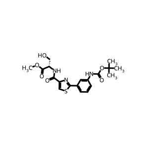 COC(=O)[C@H](CO)NC(=O)c1csc(-c2cccc(NC(=O)OC(C)(C)C)c2)n1